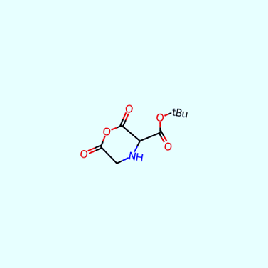 CC(C)(C)OC(=O)C1NCC(=O)OC1=O